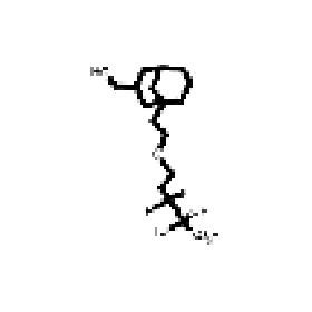 O=S(=O)(O)C(O)(O)C(F)(F)CCOCCC12CCCC(CC(CO)C1)C2